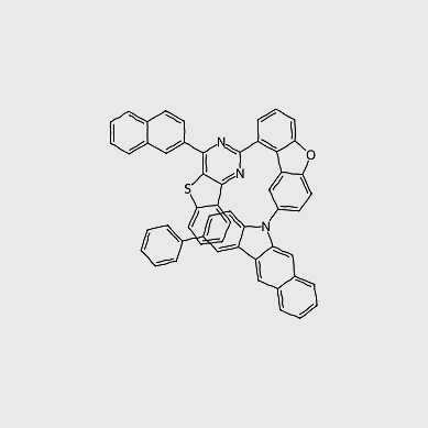 c1ccc(-c2ccc3c(c2)c2cc4ccccc4cc2n3-c2ccc3oc4cccc(-c5nc(-c6ccc7ccccc7c6)c6sc7ccccc7c6n5)c4c3c2)cc1